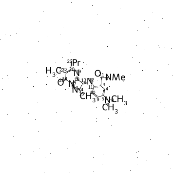 CNC(=O)c1cc(N(C)C)ccc1N=C1C(C)=Nn2c1nc(C(C)C)c(C)c2=O